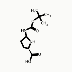 CC(C)(C)OC(=O)NC1CC[C@H](C(=O)O)N1